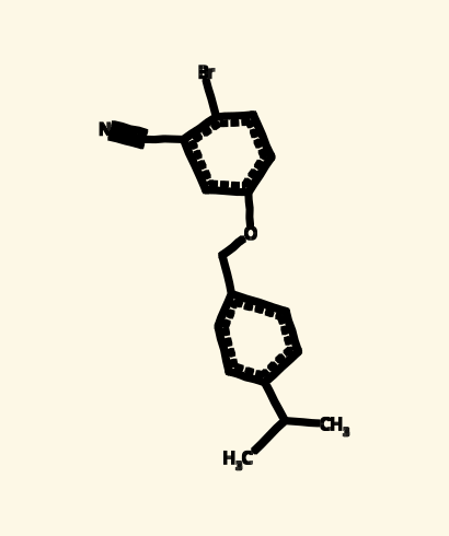 CC(C)c1ccc(COc2ccc(Br)c(C#N)c2)cc1